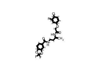 C=C(CCNC(=O)c1ccc2c(c1)OC(F)(F)O2)NC(=O)COc1ccc(Cl)c(F)c1